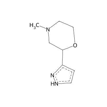 CN1CCOC(c2cc[nH]n2)C1